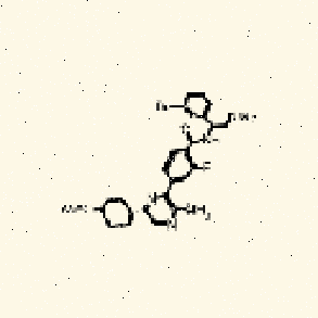 CNCC(NC(=O)c1ccc(-c2nc([C@H]3CC[C@H](OC)CC3)cnc2N)cc1F)c1cccc(Br)c1